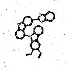 C=Cc1cc2c3ccccc3n(-c3cccc4oc5ccc(-c6nc7ccccc7o6)cc5c34)c2cc1C=C